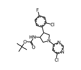 CC(C)(C)OC(=O)NC1CN(c2cc(Cl)ncn2)CC1c1ccc(F)cc1Cl